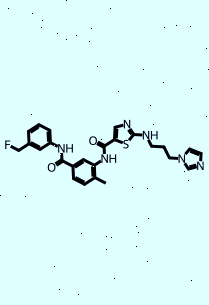 Cc1ccc(C(=O)Nc2cccc(CF)c2)cc1NC(=O)c1cnc(NCCCn2ccnc2)s1